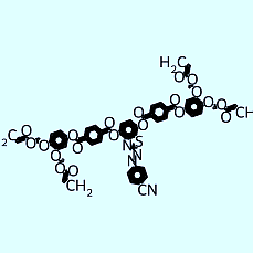 C=CC(=O)OCOc1ccc(OC(=O)C2CCC(C(=O)Oc3ccc(OC(=O)C4CCC(C(=O)Oc5ccc(OCOC(=O)C=C)c(OCOC(=O)C=C)c5)CC4)c4sc(/N=N/c5ccc(C#N)cc5)nc34)CC2)cc1OCOC(=O)C=C